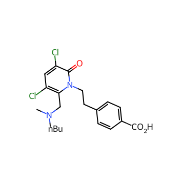 CCCCN(C)Cc1c(Cl)cc(Cl)c(=O)n1CCc1ccc(C(=O)O)cc1